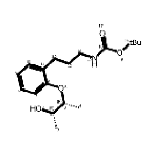 C[C@H](O)[C@@H](C)Oc1ccccc1CCCNC(=O)OC(C)(C)C